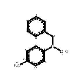 O=[C]N(Cc1ccccc1)c1ccc(C(F)(F)F)cc1